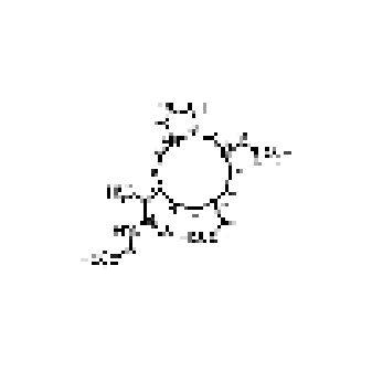 CC(C(=O)NCC(=O)O)N1CCN(CC(=O)O)CCN(CC(=O)O)CCN(CC(=O)O)CC1